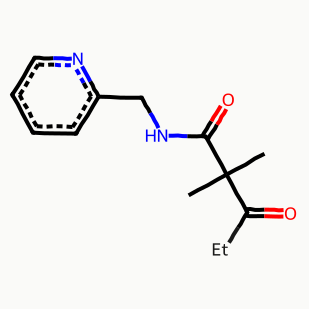 CCC(=O)C(C)(C)C(=O)NCc1ccccn1